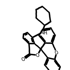 O=C1OC2(c3ccccc3Oc3ccccc32)c2c(NC3CCCCC3)cccc21